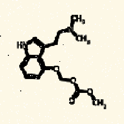 COC(=O)OCOc1cccc2[nH]cc(CCN(C)C)c12